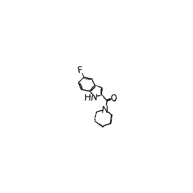 O=C(c1cc2cc(F)ccc2[nH]1)N1CCCCC1